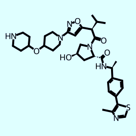 Cc1ncsc1-c1ccc([C@H](C)NC(=O)[C@@H]2C[C@@H](O)CN2C(=O)[C@@H](c2cc(N3CCC(OC4CCNCC4)CC3)no2)C(C)C)cc1